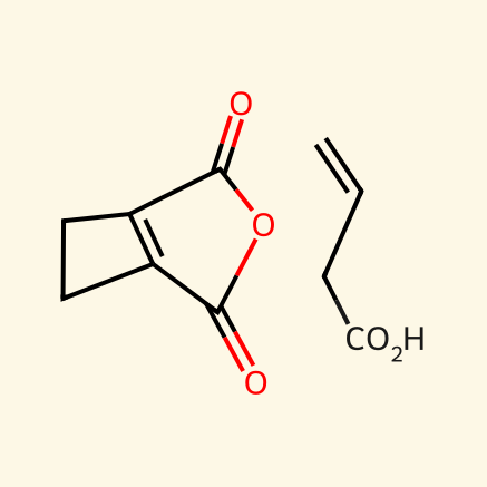 C=CCC(=O)O.O=C1OC(=O)C2=C1CC2